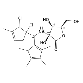 CC1=CC[C](Cl)([Zr]([GeH2][C@@]2(O)C(=O)O[C@H](CO)[C@@H]2O)[C]2=C(C)C(C)=C(C)C2C)C1Cl